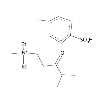 C=C(C)C(=O)CC[N+](C)(CC)CC.Cc1ccc(S(=O)(=O)O)cc1